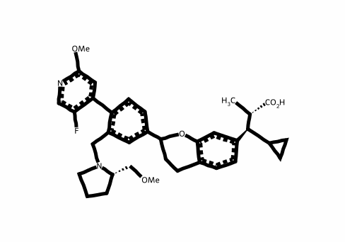 COC[C@@H]1CCCN1Cc1cc(C2CCc3ccc([C@H](C4CC4)[C@H](C)C(=O)O)cc3O2)ccc1-c1cc(OC)ncc1F